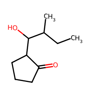 CCC(C)C(O)C1CCCC1=O